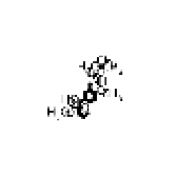 COC(=O)C1(C(O)c2ccc(OC)c(CNC(=O)OC(C)(C)C)c2)C=CCO1